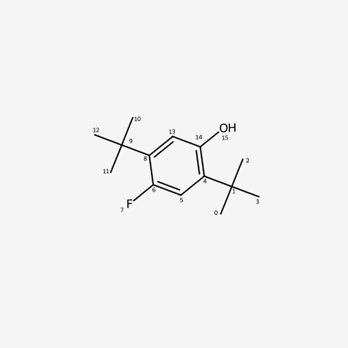 CC(C)(C)c1cc(F)c(C(C)(C)C)cc1O